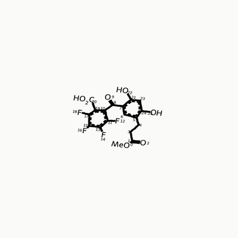 COC(=O)CCc1cc(C(=O)c2c(F)c(F)c(F)c(F)c2C(=O)O)c(O)cc1O